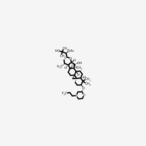 CC(=O)O[C@@H]([C@H]1C[C@@H](C)[C@H]2[C@H](O1)[C@H](O)[C@@]1(C)[C@@H]3CC[C@H]4C(C)(C)[C@@H](O[C@H]5CN(CCC(F)(F)F)CCO5)CC[C@@]45C[C@@]35CC[C@]21C)C(C)(C)O